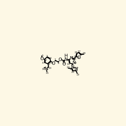 COc1ccc(OCCOC(=O)Nc2cc(-n3nc(C)cc3C)nc(-c3ccc(C)o3)n2)c(CN(C)C)c1